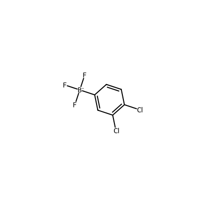 F[B-](F)(F)c1ccc(Cl)c(Cl)c1